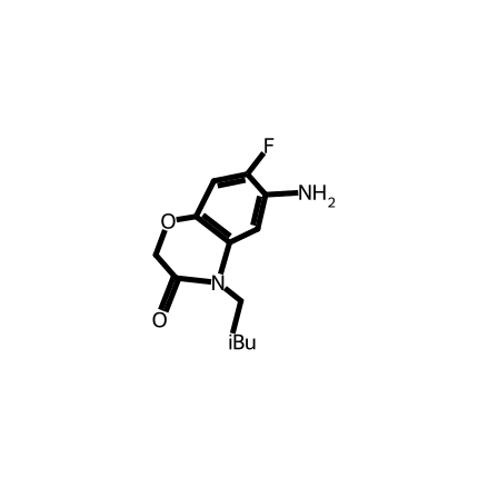 CCC(C)CN1C(=O)COc2cc(F)c(N)cc21